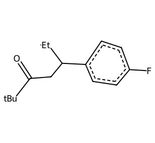 C[CH]C(CC(=O)C(C)(C)C)c1ccc(F)cc1